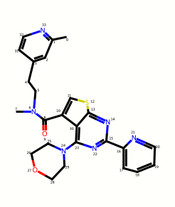 Cc1cc(CCN(C)C(=O)c2csc3nc(-c4ccccn4)nc(N4CCOCC4)c23)ccn1